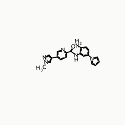 Cn1cc(-c2ccc(C(=O)Nc3cc(-n4cccc4)ccc3N)nc2)cn1